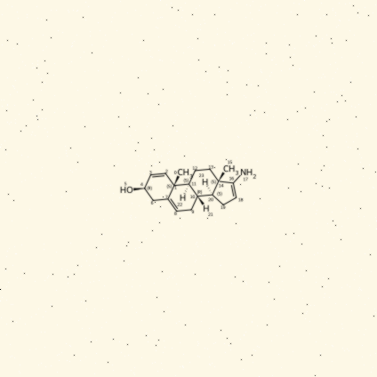 C[C@]12C=C[C@H](O)CC1=CC[C@@H]1[C@@H]2CC[C@]2(C)C(N)=CC[C@@H]12